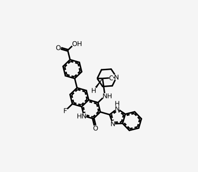 O=C(O)c1ccc(-c2cc(F)c3[nH]c(=O)c(-c4nc5ccccc5[nH]4)c(N[C@H]4CN5CCC4CC5)c3c2)cc1